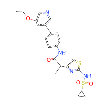 CCOc1cncc(-c2ccc(NC(=O)C(C)c3csc(NS(=O)(=O)C4CC4)n3)cc2)c1